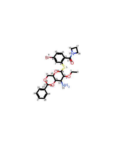 CCOC1C(Sc2cc(Br)ccc2C(=O)N2CCC2)OC2COC(c3ccccc3)OC2C1N